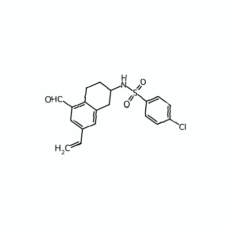 C=Cc1cc(C=O)c2c(c1)CC(NS(=O)(=O)c1ccc(Cl)cc1)CC2